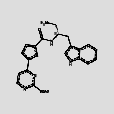 CNc1nccc(-c2ccc(C(=O)N[C@H](CN)Cc3c[nH]c4ccccc34)s2)n1